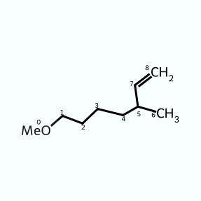 [CH2]OCCCCC(C)C=C